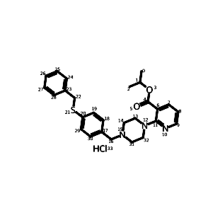 CC(C)OC(=O)c1cccnc1N1CCN(Cc2ccc(SCc3ccccc3)cc2)CC1.Cl